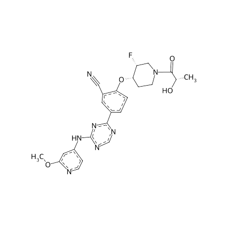 COc1cc(Nc2ncnc(-c3ccc(O[C@H]4CCN(C(=O)[C@H](C)O)C[C@H]4F)c(C#N)c3)n2)ccn1